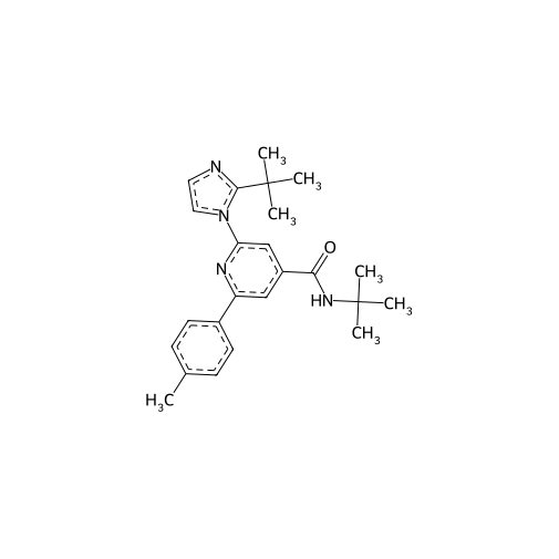 Cc1ccc(-c2cc(C(=O)NC(C)(C)C)cc(-n3ccnc3C(C)(C)C)n2)cc1